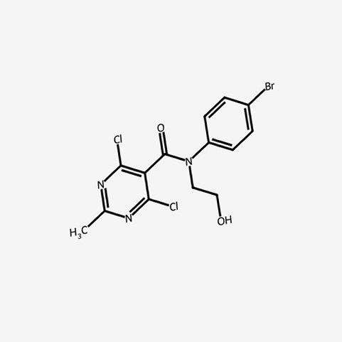 Cc1nc(Cl)c(C(=O)N(CCO)c2ccc(Br)cc2)c(Cl)n1